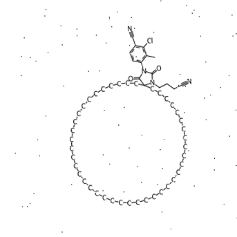 Cc1c(N2C(=O)N(CCCC#N)C3(CCCCCCCCCCCCCCCCCCCCCCCCCCCCCCCCCCCCCCCCC3)C2=O)ccc(C#N)c1Cl